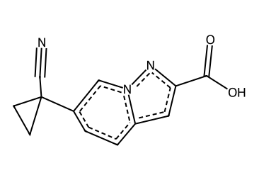 N#CC1(c2ccc3cc(C(=O)O)nn3c2)CC1